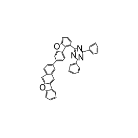 c1ccc(-c2nc(-c3ccccc3)nc(-c3cccc4oc5cc(-c6ccc7cc8oc9ccccc9c8cc7c6)ccc5c34)n2)cc1